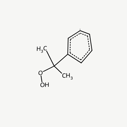 CC(C)(OO)c1c[c]ccc1